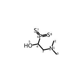 CN(C)CC(O)P(=S)=S